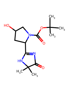 CC(C)(C)OC(=O)N1CC(O)CC1C1=NC(=O)C(C)(C)N1